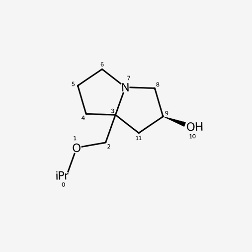 CC(C)OCC12CCCN1C[C@@H](O)C2